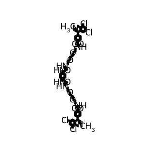 CN1Cc2c(Cl)cc(Cl)cc2C(c2ccc(S(=O)(=O)NCCOCCOCCNC(=O)Nc3ccc(NC(=O)NCCOCCOCCNS(=O)(=O)c4ccc(C5CN(C)Cc6c(Cl)cc(Cl)cc65)cc4)cc3)cc2)C1